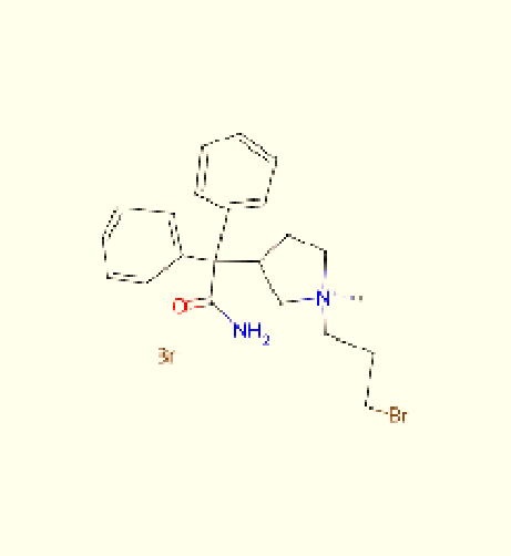 C[N@@+]1(CCCBr)CCC(C(C(N)=O)(c2ccccc2)c2ccccc2)C1.[Br-]